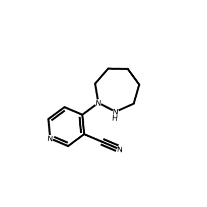 N#Cc1cnccc1N1CCCCCN1